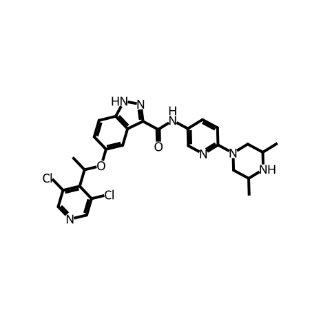 CC1CN(c2ccc(NC(=O)c3n[nH]c4ccc(OC(C)c5c(Cl)cncc5Cl)cc34)cn2)CC(C)N1